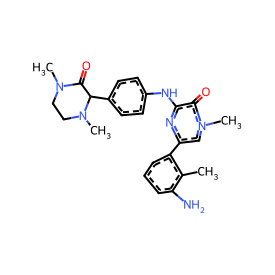 Cc1c(N)cccc1-c1cn(C)c(=O)c(Nc2ccc(C3C(=O)N(C)CCN3C)cc2)n1